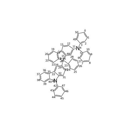 c1ccc(N(c2ccccc2)c2cccc([Si](c3ccccc3)(c3ccccc3)c3ccc4c(c3)c3ccccc3n4-c3ccccc3)c2)cc1